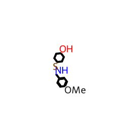 COc1ccc(CNSC2CCC(O)CC2)cc1